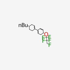 CCCCC1CC=C(C2=CCC(OC(F)(F)C(F)(F)CF)C=C2)CC1